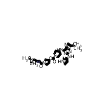 CC(C)c1cnc2c(NC3CCN(C(=O)O[C@H]4CCN(C(=O)/C=C/CN(C)C)C4)CC3)nc(Nc3cc[nH]n3)nn12